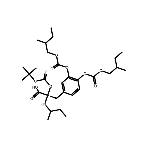 CCC(C)COC(=O)Oc1ccc(C[C@](NC(C)CC)(OC(=O)OC(C)(C)C)C(=O)O)cc1OC(=O)OCC(C)CC